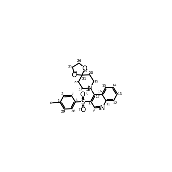 Cc1ccc(S(=O)(=O)c2cnc3ccccc3c2N2CCC3(CC2)OCCO3)cc1